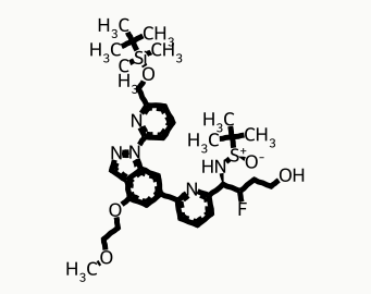 COCCOc1cc(-c2cccc([C@@H](N[S@+]([O-])C(C)(C)C)C(F)CCO)n2)cc2c1cnn2-c1cccc(CO[Si](C)(C)C(C)(C)C)n1